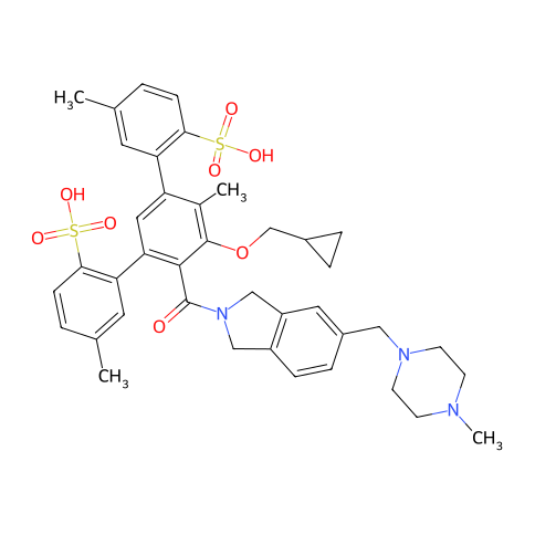 Cc1ccc(S(=O)(=O)O)c(-c2cc(-c3cc(C)ccc3S(=O)(=O)O)c(C(=O)N3Cc4ccc(CN5CCN(C)CC5)cc4C3)c(OCC3CC3)c2C)c1